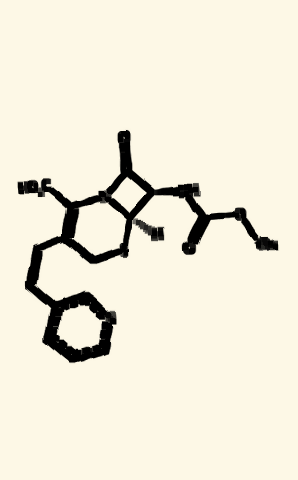 CC(C)(C)OC(=O)N[C@@H]1C(=O)N2C(C(=O)O)=C(/C=C\c3cccnc3)CS[C@H]12